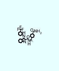 C[C@H](NC(=O)c1c(Nc2cccc(C(F)(F)F)c2)c2ccccc2n1C)c1ccc(C(N)=O)cc1